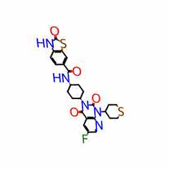 O=C(N[C@H]1CC[C@@H](n2c(=O)c3cc(F)cnc3n(C3CCSCC3)c2=O)CC1)c1ccc2[nH]c(=O)sc2c1